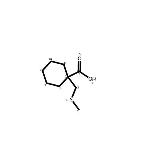 CSCC1(C(=O)O)CCCCC1